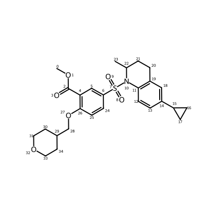 COC(=O)c1cc(S(=O)(=O)N2c3ccc(C4CC4)cc3CCC2C)ccc1OCC1CCOCC1